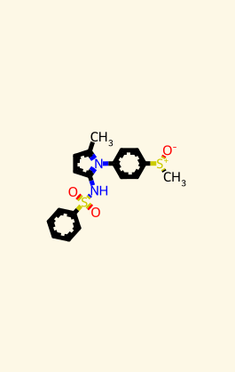 Cc1ccc(NS(=O)(=O)c2ccccc2)n1-c1ccc([S+](C)[O-])cc1